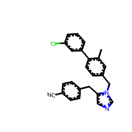 Cc1cc(Cn2cncc2Cc2ccc(C#N)cc2)ccc1-c1cccc(Cl)c1